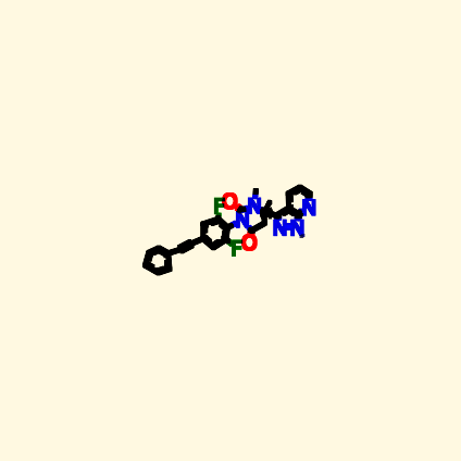 CN1C(=O)N(c2c(F)cc(C#Cc3ccccc3)cc2F)C(=O)C[C@@]1(C)c1nn(C)c2ncccc12